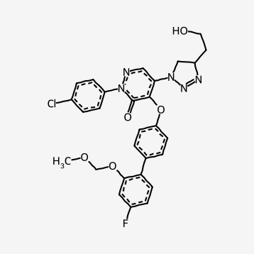 COCOc1cc(F)ccc1-c1ccc(Oc2c(N3CC(CCO)N=N3)cnn(-c3ccc(Cl)cc3)c2=O)cc1